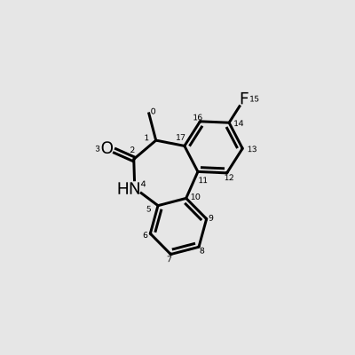 CC1C(=O)Nc2ccccc2-c2ccc(F)cc21